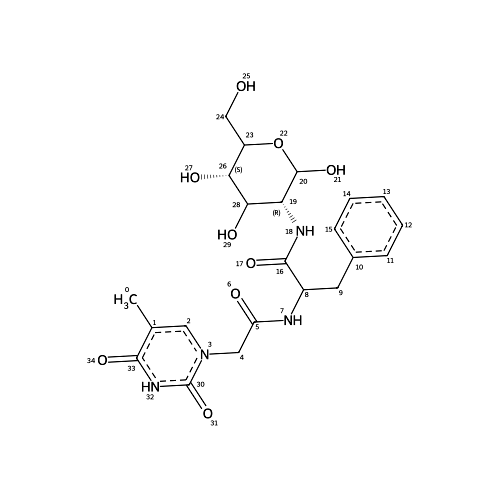 Cc1cn(CC(=O)NC(Cc2ccccc2)C(=O)N[C@H]2C(O)OC(CO)[C@@H](O)C2O)c(=O)[nH]c1=O